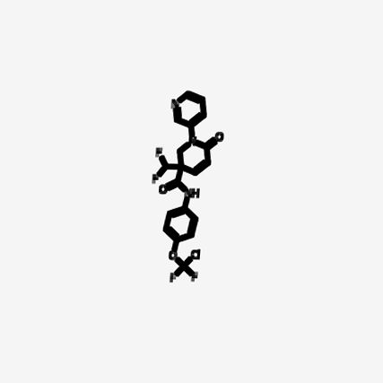 O=C1C=CC(C(=O)Nc2ccc(OC(F)(F)Cl)cc2)(C(F)F)CN1c1cccnc1